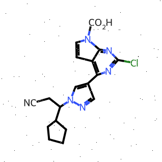 N#CCC(C1CCCC1)n1cc(-c2nc(Cl)nc3c2ccn3C(=O)O)cn1